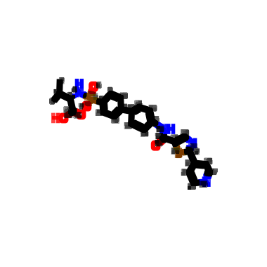 CC(C)[C@H](NS(=O)(=O)c1ccc(-c2ccc(NC(=O)c3cnc(-c4ccncc4)s3)cc2)cc1)C(=O)O